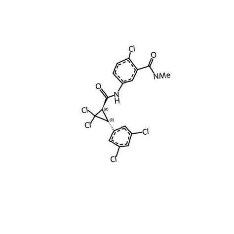 CNC(=O)c1cc(NC(=O)[C@H]2[C@H](c3cc(Cl)cc(Cl)c3)C2(Cl)Cl)ccc1Cl